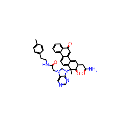 Cc1ccc(CCNC(=O)CN2CN(C3(C)C(=O)C(CC(N)=O)C=c4c3ccc3c4=CC(=O)c4ccccc4-3)c3ncncc32)cc1